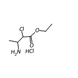 CCOC(=O)C(Cl)C(C)N.Cl